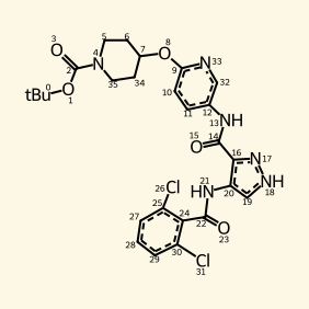 CC(C)(C)OC(=O)N1CCC(Oc2ccc(NC(=O)c3n[nH]cc3NC(=O)c3c(Cl)cccc3Cl)cn2)CC1